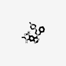 CCNc1cc2ncnc(N(CCN3CCN(C)CC3)Cc3ccccc3)c2cc1[N+](=O)[O-]